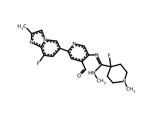 CN/C(=N\c1cnc(-c2cc(F)c3nc(C)cn3c2)cc1C=O)C1(F)CCN(C)CC1